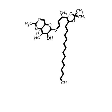 CCCCCCCCCCCCCCC1OC(C)(C)O[C@H]1[C@@H](C)CCS[C@@H]1OC2COC(C)O[C@@H]2[C@H](O)C1O